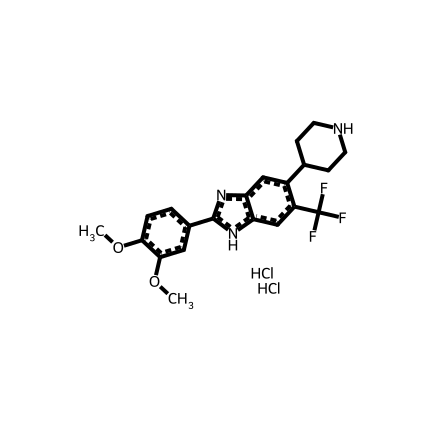 COc1ccc(-c2nc3cc(C4CCNCC4)c(C(F)(F)F)cc3[nH]2)cc1OC.Cl.Cl